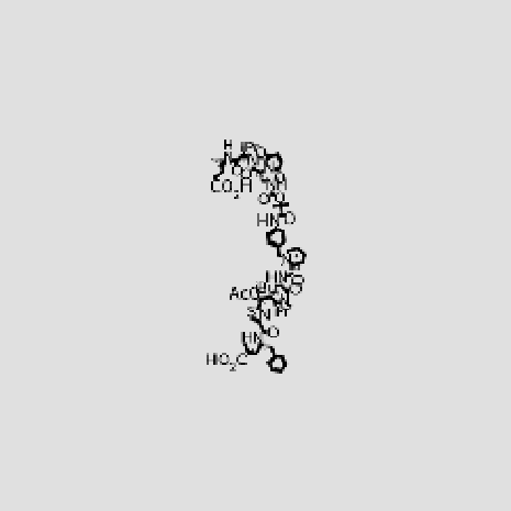 CC[C@H](C)[C@H](NC(=O)[C@H]1CCCC[N+]1(C)Cc1ccc(NC(=O)C(C)(C)OC(=O)NC[C@@H](C(=O)N[C@H](C(=O)N[C@@H](C)CCC(=O)O)C(C)C)N2C(=O)C=CC2=O)cc1)C(=O)N(C)[C@H](C[C@@H](OC(C)=O)c1nc(C(=O)N[C@@H](Cc2ccccc2)C[C@H](C)C(=O)O)cs1)C(C)C